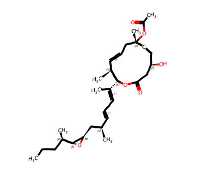 CCC[C@@H](C)[C@H]1O[C@@H]1C[C@H](C)/C=C/C=C(\C)[C@H]1OC(=O)C[C@H](O)CC[C@@](C)(OC(C)=O)C/C=C/[C@@H]1C